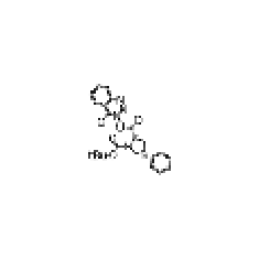 CC(C)(C)OC(=O)N1C[C@@H](c2ccccc2)C[C@H]1C(=O)On1nnc2ccccc2c1=O